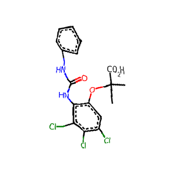 CC(C)(Oc1cc(Cl)c(Cl)c(Cl)c1NC(=O)Nc1ccccc1)C(=O)O